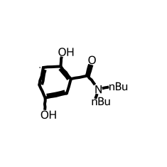 CCCCN(CCCC)C(=O)c1cc(O)c[c]c1O